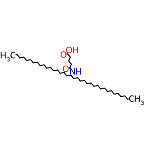 CCCCCCCCCCCCCCCCCCC(CCCCCCCCCCCCCCCCC)NC(=O)CCCC(=O)O